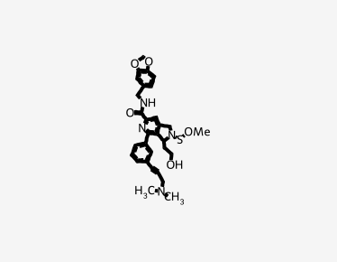 COSN1Cc2cc(C(=O)NCc3ccc4c(c3)OCO4)nc(-c3cccc(C#CCN(C)C)c3)c2C1CCO